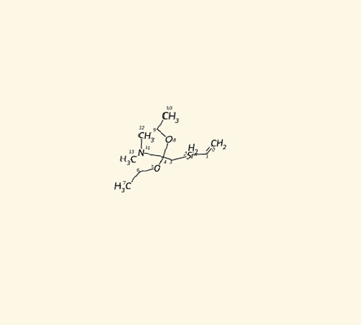 C=C[SiH2]CC(OCC)(OCC)N(C)C